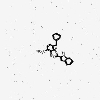 CCc1c(C(=O)O)ccc(Cc2ccccc2)c1NC(=O)c1cc2ccccc2[nH]1